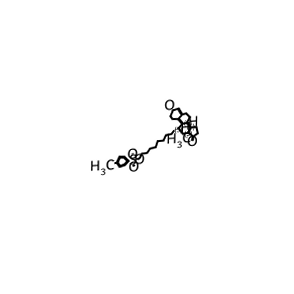 Cc1ccc(S(=O)(=O)OCCCCCCCCC[C@H]2C[C@]3(C)C(=O)CC[C@H]3[C@@H]3CCC4=CC(=O)CCC4=C23)cc1